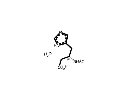 CC(=O)N[C@H](CC(=O)O)Cc1cnc[nH]1.O